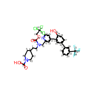 O=C(O)N1CCC(CCN(Cc2cc(-c3cc(-c4cccc(C(F)(F)F)c4)ccc3O)ccn2)C(=O)OCC(Cl)(Cl)Cl)CC1